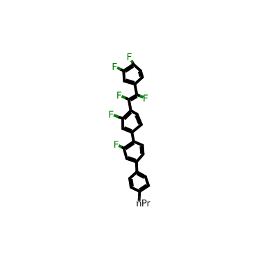 CCCc1ccc(-c2ccc(-c3ccc(/C(F)=C(\F)c4ccc(F)c(F)c4)c(F)c3)c(F)c2)cc1